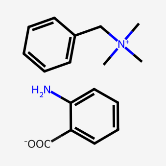 C[N+](C)(C)Cc1ccccc1.Nc1ccccc1C(=O)[O-]